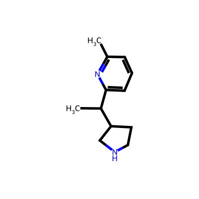 Cc1cccc(C(C)C2CCNC2)n1